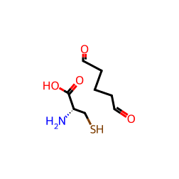 N[C@@H](CS)C(=O)O.O=CCCCC=O